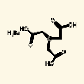 O=C(O)CN(CC(=O)O)CC(=O)O.[BaH2]